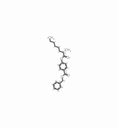 CCCCCC[C@H](C)C(=O)Oc1ccc(C(=O)OCc2ccccc2)cc1